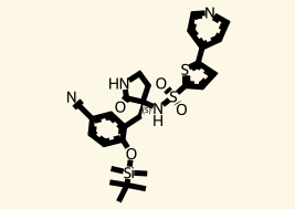 CC(C)(C)[Si](C)(C)Oc1ccc(C#N)cc1C[C@]1(NS(=O)(=O)c2ccc(-c3ccncc3)s2)CCNC1=O